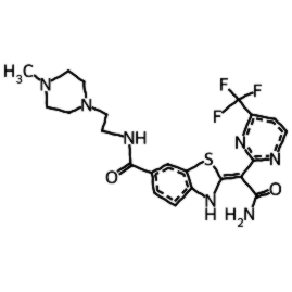 CN1CCN(CCNC(=O)c2ccc3c(c2)S/C(=C(/C(N)=O)c2nccc(C(F)(F)F)n2)N3)CC1